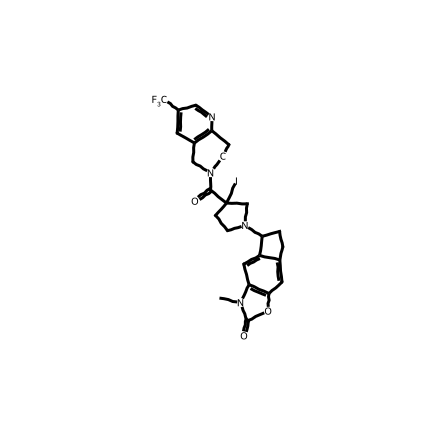 Cn1c(=O)oc2cc3c(cc21)C(N1CCC(I)(C(=O)N2CCc4ncc(C(F)(F)F)cc4C2)C1)CC3